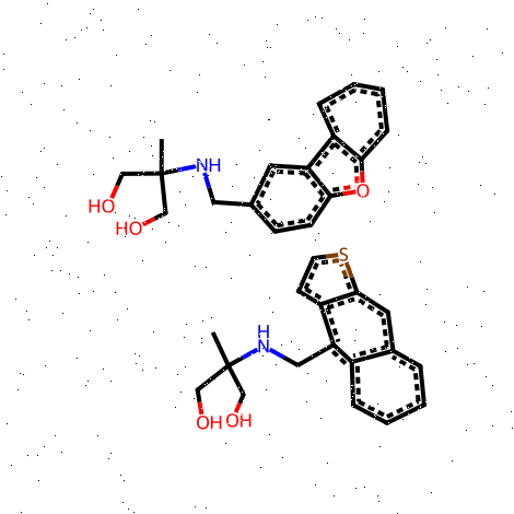 CC(CO)(CO)NCc1c2ccccc2cc2sccc12.CC(CO)(CO)NCc1ccc2oc3ccccc3c2c1